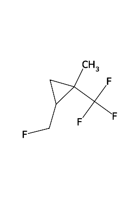 CC1(C(F)(F)F)CC1CF